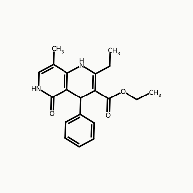 CCOC(=O)C1=C(CC)Nc2c(C)c[nH]c(=O)c2C1c1ccccc1